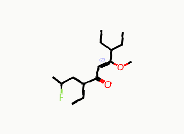 CCC(CC(C)F)C(=O)/C=C(\OC)C(CC)CC